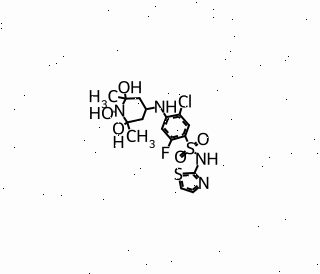 CC1(O)CC(Nc2cc(F)c(S(=O)(=O)Nc3nccs3)cc2Cl)CC(C)(O)N1O